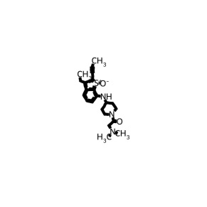 CC#Cc1c(CC)c2cccc(NC3CCN(C(=O)CN(C)C)CC3)c2[s+]1[O-]